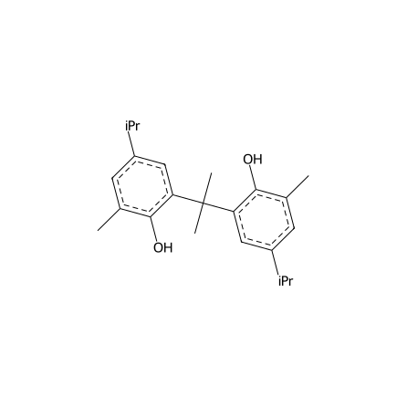 Cc1cc(C(C)C)cc(C(C)(C)c2cc(C(C)C)cc(C)c2O)c1O